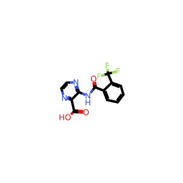 O=C(Nc1nccnc1C(=O)O)c1ccccc1C(F)(F)F